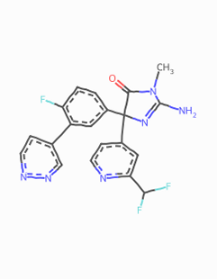 CN1C(=O)C(c2ccnc(C(F)F)c2)(c2ccc(F)c(-c3ccnnc3)c2)N=C1N